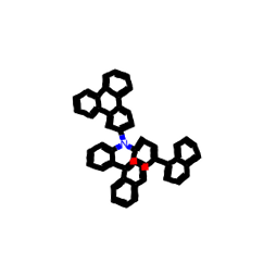 c1ccc(N(c2ccc(-c3cccc4ccccc34)cc2)c2ccc3c4ccccc4c4ccccc4c3c2)c(-c2cccc3ccccc23)c1